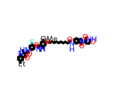 CCc1ccc2c(c1)c(=O)c(C(=O)Nc1ccc(Oc3ncnc4cc(OCCCCCCCCCC(=O)Nc5ccc6c(c5)C(=O)N(C5CCC(=O)NC5=O)C6)c(OC)cc34)c(F)c1)c(C)n2C